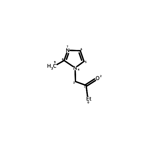 CCC(=O)Cn1ccnc1C